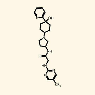 O=C(CNc1ncc(C(F)(F)F)cn1)NC1CCN(C2CCC(O)(c3ccccn3)CC2)C1